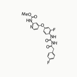 COC(=O)Nc1cc(Oc2ccc(NC(=O)NC(=O)Cc3ccc(F)cc3)c(F)c2)ccn1